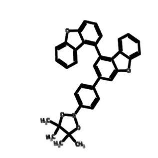 CC1(C)OB(c2ccc(-c3cc(-c4cccc5oc6ccccc6c45)c4c(c3)oc3ccccc34)cc2)OC1(C)C